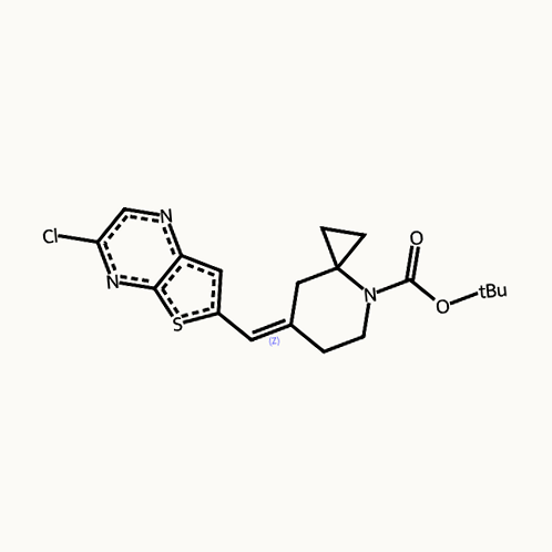 CC(C)(C)OC(=O)N1CC/C(=C/c2cc3ncc(Cl)nc3s2)CC12CC2